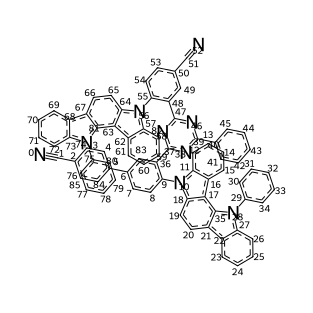 N#Cc1ccc(-c2ccc(-n3c4ccccc4c4c3ccc3c5ccccc5n(-c5ccccc5)c34)c(-c3nc(-c4ccccc4)nc(-c4cc(C#N)ccc4-n4c5ccccc5c5c4ccc4c6ccccc6n(-c6ccccc6)c45)n3)c2)cc1